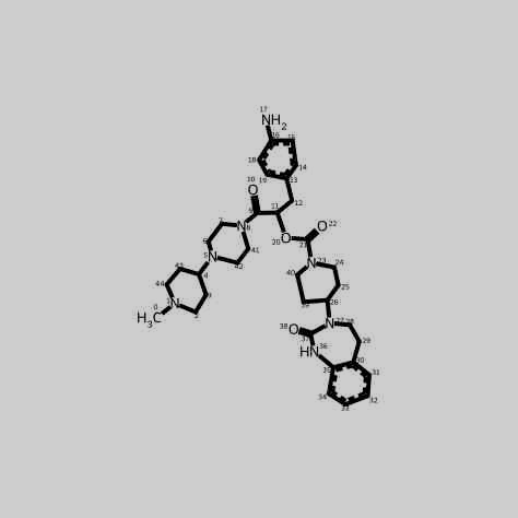 CN1CCC(N2CCN(C(=O)C(Cc3ccc(N)cc3)OC(=O)N3CCC(N4CCc5ccccc5NC4=O)CC3)CC2)CC1